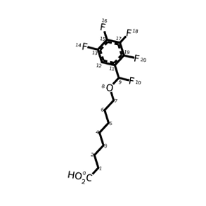 O=C(O)CCCCCCCOC(F)c1cc(F)c(F)c(F)c1F